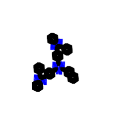 c1ccc(-c2nc3ccccc3nc2-c2ccc(-c3nc(-c4ccc(-c5nc6ccccc6nc5-c5ccccc5)cc4)nc(-c4ccc5ccccc5c4)n3)cc2)cc1